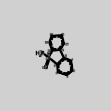 O=[SH]1(P)c2ccccc2-c2ccccc21